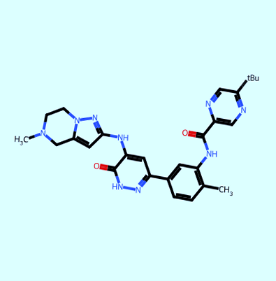 Cc1ccc(-c2cc(Nc3cc4n(n3)CCN(C)C4)c(=O)[nH]n2)cc1NC(=O)c1cnc(C(C)(C)C)cn1